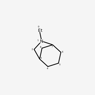 CCN1CC2CCCC1C2